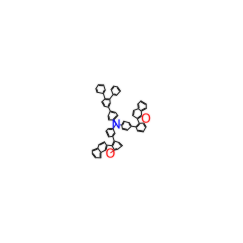 c1ccc(-c2ccc(-c3ccc(N(c4ccc(-c5cccc6oc7c8ccccc8ccc7c56)cc4)c4cccc(-c5cccc6oc7c8ccccc8ccc7c56)c4)cc3)cc2-c2ccccc2)cc1